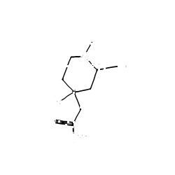 COC(=O)CC1(N)CCN(C(=O)O)C(C(C)(C)C)C1